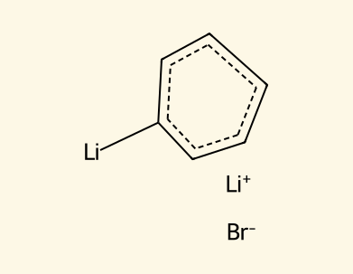 [Br-].[Li+].[Li][c]1ccccc1